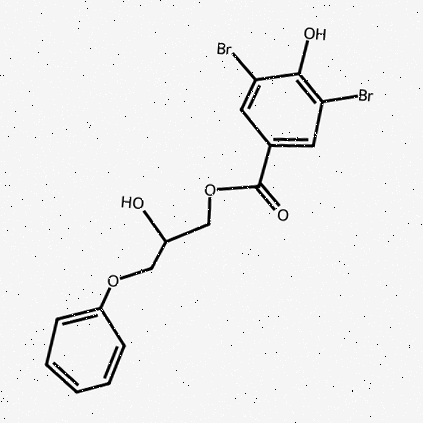 O=C(OCC(O)COc1ccccc1)c1cc(Br)c(O)c(Br)c1